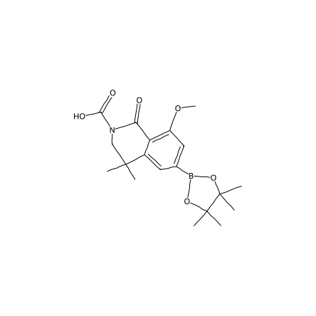 COc1cc(B2OC(C)(C)C(C)(C)O2)cc2c1C(=O)N(C(=O)O)CC2(C)C